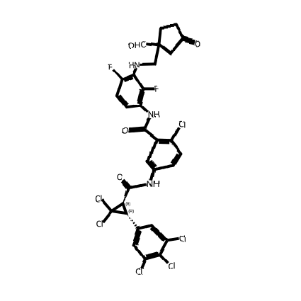 O=CC1(CNc2c(F)ccc(NC(=O)c3cc(NC(=O)[C@H]4[C@H](c5cc(Cl)c(Cl)c(Cl)c5)C4(Cl)Cl)ccc3Cl)c2F)CCC(=O)C1